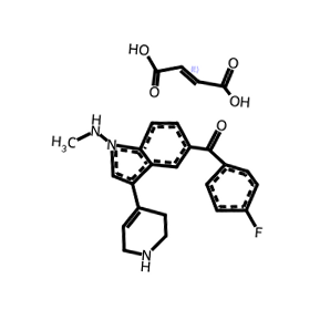 CNn1cc(C2=CCNCC2)c2cc(C(=O)c3ccc(F)cc3)ccc21.O=C(O)/C=C/C(=O)O